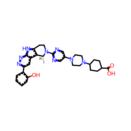 C[C@@H]1c2c([nH]c3nnc(-c4ccccc4O)cc23)CCN1c1ncc(N2CCN(C3CCC(C(=O)O)CC3)CC2)cn1